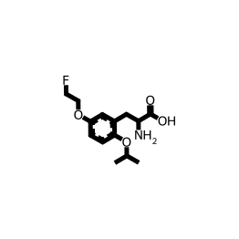 CC(C)Oc1ccc(OCCF)cc1CC(N)C(=O)O